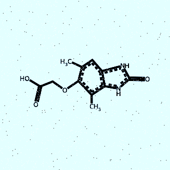 Cc1cc2[nH]c(=O)[nH]c2c(C)c1OCC(=O)O